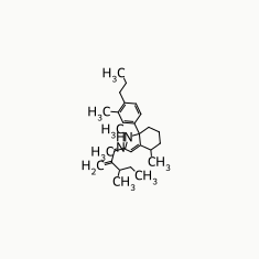 C=C(CCN(C)C1(c2ccc(CCC)c(C)c2)CCCC(C)/C1=C/NC)C(C)CC